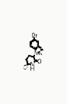 O=C1CCC(n2nnc3cc(Br)ccc32)C(=O)N1